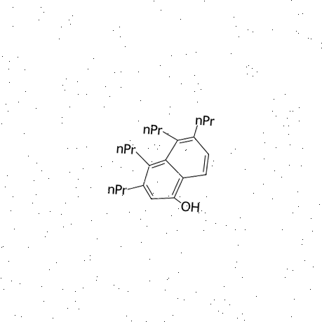 CCCc1ccc2c(O)cc(CCC)c(CCC)c2c1CCC